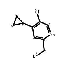 Clc1cnc(CBr)cc1C1CC1